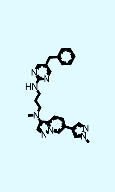 CN(CCCNc1ncc(Cc2ccccc2)cn1)c1cnn2cc(-c3cnn(C)c3)ccc12